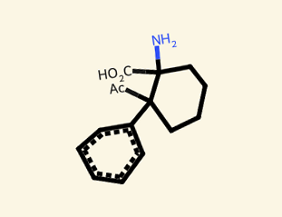 CC(=O)C1(c2ccccc2)CCCCC1(N)C(=O)O